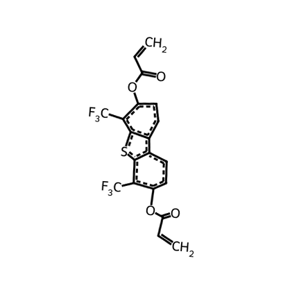 C=CC(=O)Oc1ccc2c(sc3c(C(F)(F)F)c(OC(=O)C=C)ccc32)c1C(F)(F)F